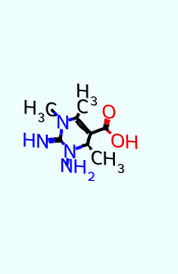 CC1=C(C(=O)O)[C@@H](C)N(N)C(=N)N1C